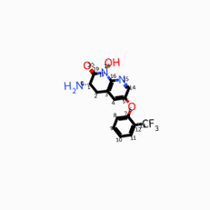 N[C@H]1Cc2cc(Oc3ccccc3C(F)(F)F)cnc2N(O)C1=O